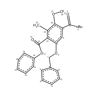 CCCCC(=O)c1cc(OCc2ccccc2)c(C(=O)Oc2ccccc2)c(C)c1OC(F)(F)F